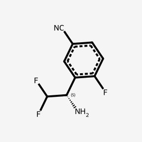 N#Cc1ccc(F)c([C@H](N)C(F)F)c1